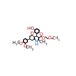 CCOCCOC(=O)C1=C(C)NC2=C(C(=O)CC(c3ccc(OC)c(OC)c3)C2)C1c1cccc(O)c1